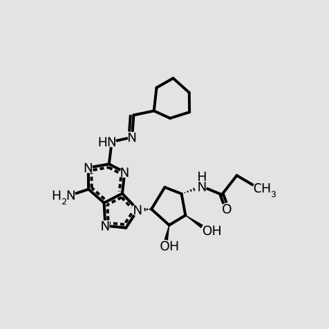 CCC(=O)N[C@H]1C[C@@H](n2cnc3c(N)nc(NN=CC4CCCCC4)nc32)[C@H](O)[C@@H]1O